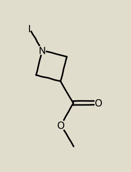 COC(=O)C1CN(I)C1